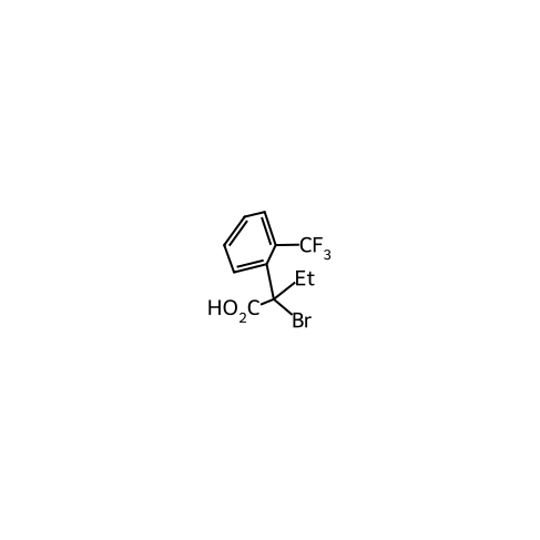 CCC(Br)(C(=O)O)c1ccccc1C(F)(F)F